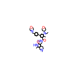 CCN(c1cc(-c2ccc(CN3CCOCC3)cc2)cc(C(=O)NCc2c3c(c(C)[nH]c2=O)CN(C)CC3)c1C)C1CCOCC1